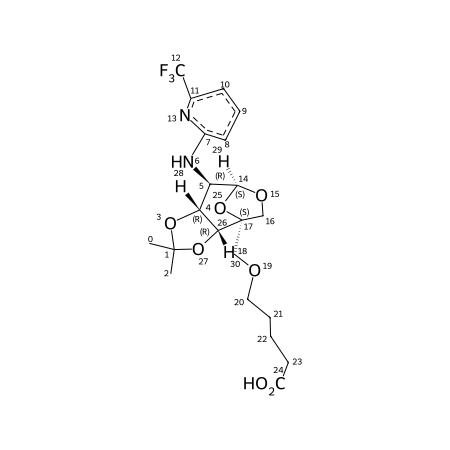 CC1(C)O[C@@H]2[C@@H](Nc3cccc(C(F)(F)F)n3)[C@H]3OC[C@](COCCCCC(=O)O)(O3)[C@@H]2O1